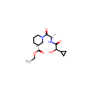 C[C@H](NC(=O)C(O)C1CC1)C(=O)N1CCC[C@@H](C(=O)OCC(Cl)(Cl)Cl)C1